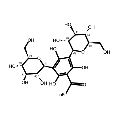 CCCC(=O)c1c(O)c([C@@H]2O[C@H](CO)[C@@H](O)[C@H](O)[C@H]2O)c(O)c([C@@H]2O[C@H](CO)[C@@H](O)[C@H](O)[C@H]2O)c1O